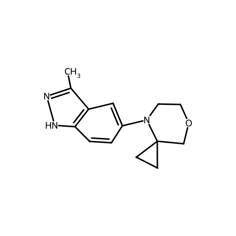 Cc1n[nH]c2ccc(N3CCOCC34CC4)cc12